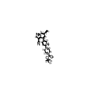 C#Cc1cc(-c2ccc(N3CCN(C(=O)OC(C)(C)C)CC3)nc2)c2c(C#N)cnn2c1